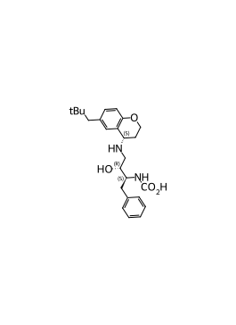 CC(C)(C)Cc1ccc2c(c1)[C@@H](NC[C@@H](O)[C@H](Cc1ccccc1)NC(=O)O)CCO2